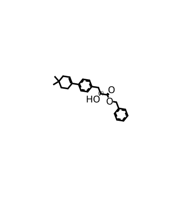 CC1(C)CC=C(c2ccc(C[C@@H](O)C(=O)OCc3ccccc3)cc2)CC1